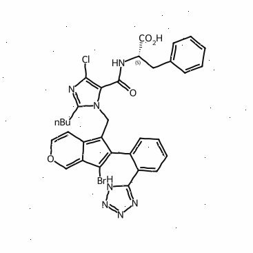 CCCCc1nc(Cl)c(C(=O)N[C@@H](Cc2ccccc2)C(=O)O)n1Cc1c2ccocc-2c(Br)c1-c1ccccc1-c1nnn[nH]1